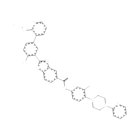 COc1ncccc1-c1ccc(O)c(-c2nc3ccc(C(=O)Nc4ccc(N5CCN(c6ccccn6)CC5)c(F)c4)cc3[nH]2)c1